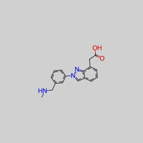 CNCc1cccc(-n2cc3cccc(CC(=O)O)c3n2)c1